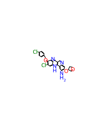 N#Cc1cnc2cc(OC3CCOC3)c(N)cc2c1Nc1ccc(OCc2ccc(Cl)cc2)c(Cl)c1